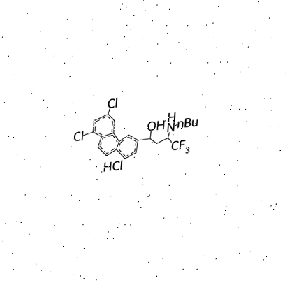 CCCCNC(CC(O)c1ccc2ccc3c(Cl)cc(Cl)cc3c2c1)C(F)(F)F.Cl